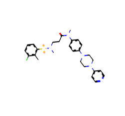 Cc1c(Cl)cccc1S(=O)(=O)N(C)CCC(=O)N(C)c1ccc(N2CCN(c3ccncc3)CC2)cc1